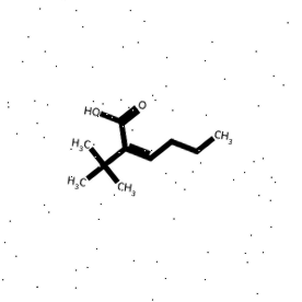 CCCC=C(C(=O)O)C(C)(C)C